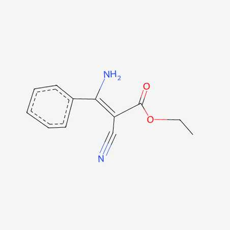 CCOC(=O)/C(C#N)=C(\N)c1ccccc1